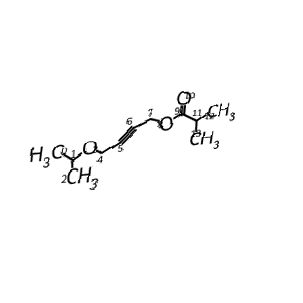 CC(C)OCC#CCOC(=O)C(C)C